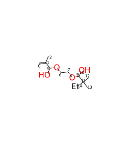 C=C(C)C(O)OCCOC(O)C(C)(C)CC